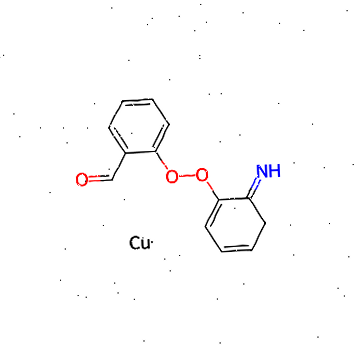 N=C1CC=CC=C1OOc1ccccc1C=O.[Cu]